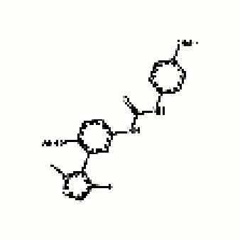 COc1ccc(NC(=O)Nc2ccc(OC)c(-c3c(F)cnn3C)c2)cc1